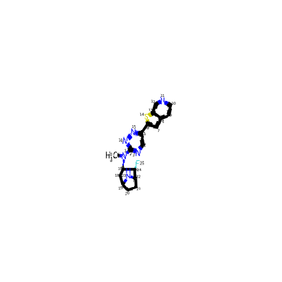 CN(c1ncc(-c2cc3ccncc3s2)nn1)[C@@H]1CC2CCC(N2)[C@@H]1F